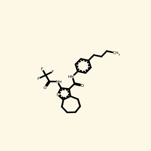 CCCCc1ccc(NC(=O)c2c(NC(=O)C(F)(F)F)sc3c2CCCCC3)cc1